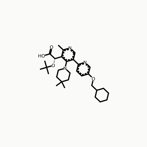 Cc1ncc(-c2ccc(OCC3CCCCC3)cn2)c(N2CCC(C)(C)CC2)c1[C@H](OC(C)(C)C)C(=O)O